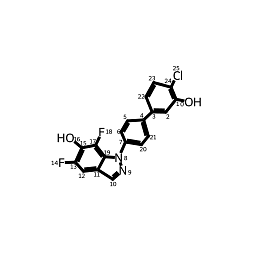 Oc1cc(-c2ccc(-n3ncc4cc(F)c(O)c(F)c43)cc2)ccc1Cl